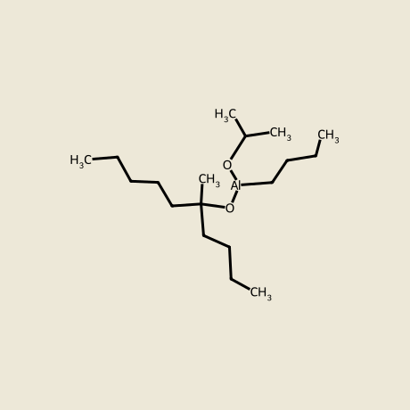 CCCCCC(C)(CCCC)[O][Al]([CH2]CCC)[O]C(C)C